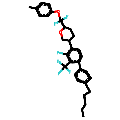 CCCCCc1ccc(-c2ccc(C3CCC(C(F)(F)Oc4ccc(C)cc4)OC3)c(F)c2C(F)(F)F)cc1